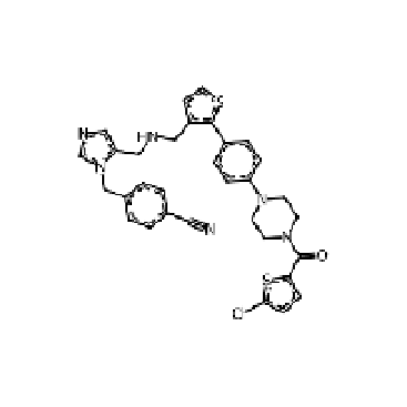 N#Cc1ccc(Cn2cncc2CNCc2ccsc2-c2ccc(N3CCN(C(=O)c4ccc(Cl)s4)CC3)cc2)cc1